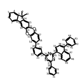 CC1(C)c2ccccc2-c2cc3c(cc21)Oc1ccc(-c2cccc(-c4nc(-c5ccccc5)nc(-c5ccc(-c6ccccc6)c6ccccc56)n4)c2)cc1O3